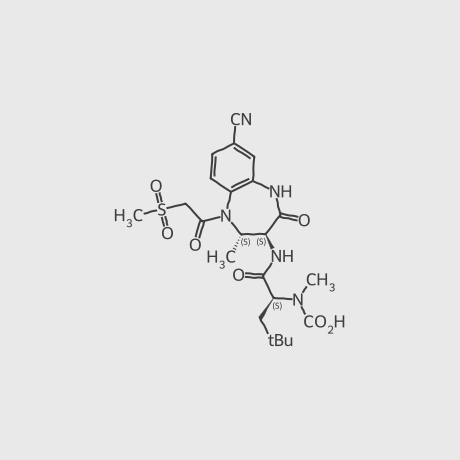 C[C@H]1[C@H](NC(=O)[C@H](CC(C)(C)C)N(C)C(=O)O)C(=O)Nc2cc(C#N)ccc2N1C(=O)CS(C)(=O)=O